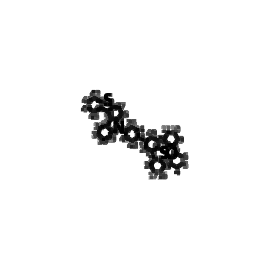 O=S12(c3ccccc3-c3ccccc31)c1ccccc1-c1cc(-c3ccc(-n4c5ccccc5c5c6c(ccc54)sc4ccccc46)cc3)ccc12